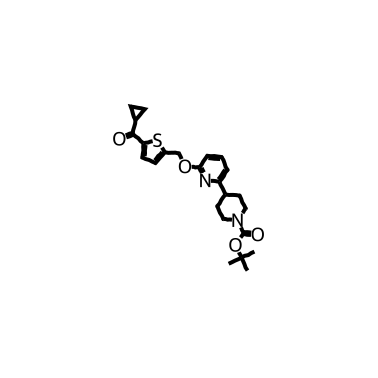 CC(C)(C)OC(=O)N1CCC(c2cccc(OCc3ccc(C(=O)C4CC4)s3)n2)CC1